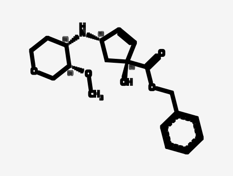 CO[C@@H]1COCC[C@@H]1N[C@@H]1C=C[C@](O)(C(=O)OCc2ccccc2)C1